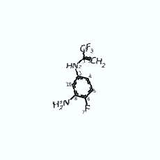 C=C(Nc1ccc(F)c(N)c1)C(F)(F)F